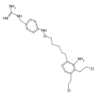 N=C(N)NCc1ccc(NOCCCCCc2ccc(CCCl)c(CCCl)c2N)cc1